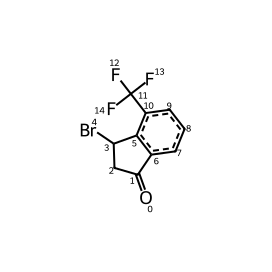 O=C1CC(Br)c2c1cccc2C(F)(F)F